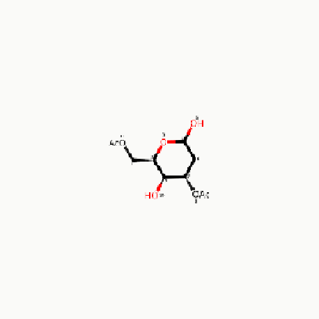 CC(=O)OC[C@H]1OC(O)C[C@@H](OC(C)=O)[C@H]1O